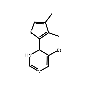 CCC1=CN=CNC1c1scc(C)c1C